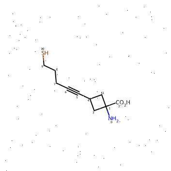 NC1(C(=O)O)CC(C#CCCCS)C1